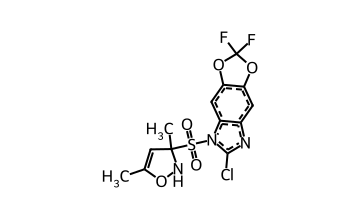 CC1=CC(C)(S(=O)(=O)n2c(Cl)nc3cc4c(cc32)OC(F)(F)O4)NO1